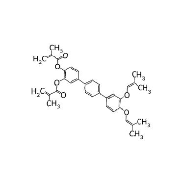 C=C(C)C(=O)Oc1ccc(-c2ccc(-c3ccc(OC=C(C)C)c(OC=C(C)C)c3)cc2)cc1OC(=O)C(=C)C